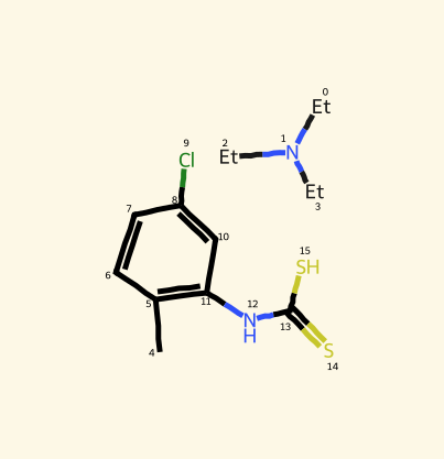 CCN(CC)CC.Cc1ccc(Cl)cc1NC(=S)S